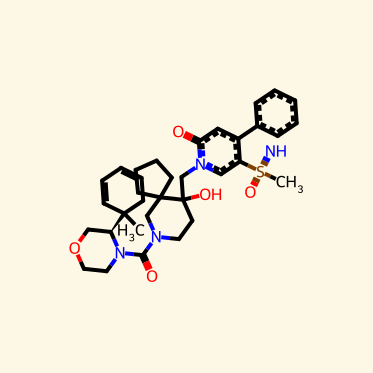 CC1([C@@H]2COCCN2C(=O)N2CCC(O)(Cn3cc(S(C)(=N)=O)c(-c4ccccc4)cc3=O)C3(CCCC3)C2)C=CC=CC1